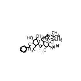 CC(=O)OCC1O[C@@H](O[Si](C)(C)C(C)(C)C(C)C)C(N=[N+]=[N-])[C@@H](C)[C@@H]1O[C@@H]1OC(C)[C@@H](O)[C@@H](OCc2ccccc2)C1C